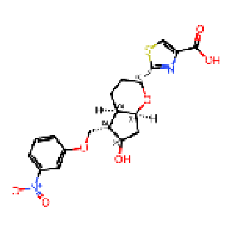 O=C(O)c1csc([C@H]2CC[C@@H]3[C@@H](COc4cccc([N+](=O)[O-])c4)[C@H](O)C[C@@H]3O2)n1